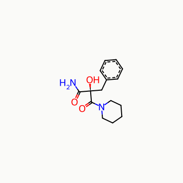 NC(=O)[C@](O)(Cc1ccccc1)C(=O)N1CCCCC1